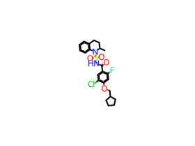 CC1CCc2ccccc2N1S(=O)(=O)NC(=O)c1cc(Cl)c(OCC2CCCC2)cc1F